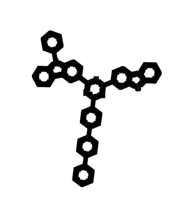 c1ccc(-c2ccc(-c3ccc(-c4nc(-c5ccc6c(c5)oc5ccccc56)nc(-c5ccc6c(c5)c5ccccc5n6-c5ccccc5)n4)cc3)cc2)cc1